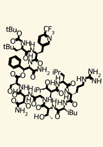 CC[C@H](C)[C@H](NC(=O)[C@@H](CCCNC(=N)N)NC(=O)[C@H](CC(C)C)NC(=O)[C@@H](C)[C@H](O)C(C)C)C(=O)N[C@H](C(=O)NCC(=O)N[C@H](C(=O)N[C@@H](CO)C(=O)O[C@H](c1ccccc1)[C@H](NC(=O)[C@H](Cc1ccc(C(F)(F)F)nc1)NC(=O)[C@@H](CC(C)(C)C)NC(=O)OC(C)(C)C)C(N)=O)[C@H](O)C(N)=O)[C@H](C)O